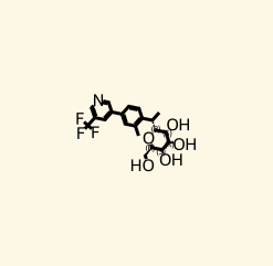 Cc1cc(-c2cncc(C(F)(F)F)c2)ccc1C(C)[C@H]1O[C@H](CO)[C@@H](O)[C@H](O)[C@@H]1O